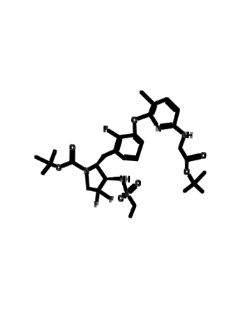 CCS(=O)(=O)N[C@@H]1[C@H](Cc2cccc(Oc3nc(NCC(=O)OC(C)(C)C)ccc3C)c2F)N(C(=O)OC(C)(C)C)CC1(F)F